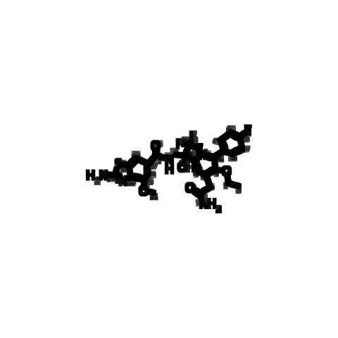 CCOc1c(CC(N)=O)cc([C@@](O)(CNC(=O)c2cc(OC)c3nc(N)sc3c2)C(F)(F)F)nc1-c1ccc(F)cc1